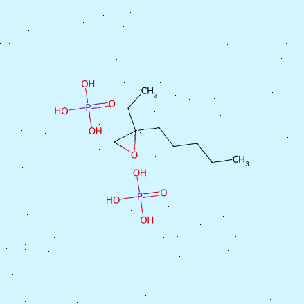 CCCCCC1(CC)CO1.O=P(O)(O)O.O=P(O)(O)O